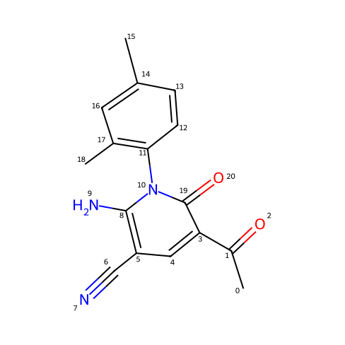 CC(=O)c1cc(C#N)c(N)n(-c2ccc(C)cc2C)c1=O